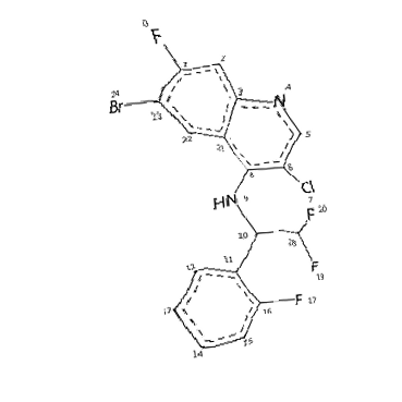 Fc1cc2ncc(Cl)c(NC(c3ccccc3F)C(F)F)c2cc1Br